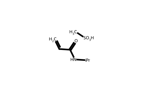 C=CC(=O)NC(C)C.CS(=O)(=O)O